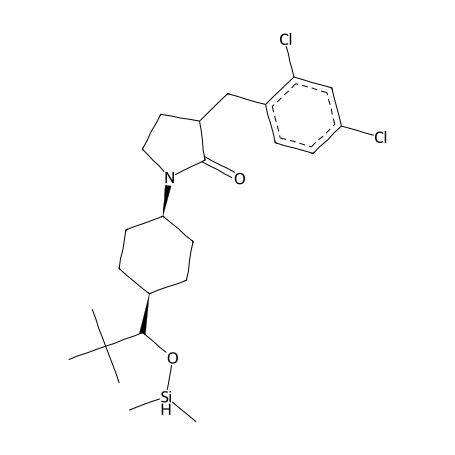 C[SiH](C)OC([C@H]1CC[C@@H](N2CCC(Cc3ccc(Cl)cc3Cl)C2=O)CC1)C(C)(C)C